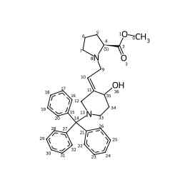 COC(=O)[C@@H]1CCCN1CC=C1CN(C(c2ccccc2)(c2ccccc2)c2ccccc2)CCC1O